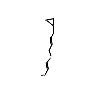 CCCC=COCC=CCC1CO1